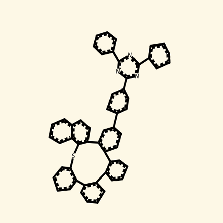 c1ccc(-c2nc(-c3ccccc3)nc(-c3ccc(-c4ccc5c(c4)-c4ccc6ccccc6c4Sc4ccccc4-c4ccccc4-c4ccccc4-5)cc3)n2)cc1